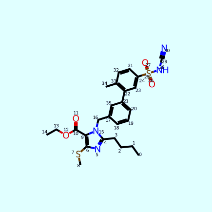 CCCCc1nc(SC)c(C(=O)OCC)n1Cc1cccc(-c2cc(S(=O)(=O)NC#N)ccc2C)c1